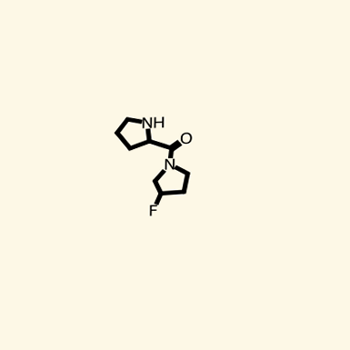 O=C(C1CCCN1)N1CCC(F)C1